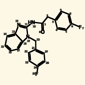 O=C(Cc1ccc(F)cc1)Nc1nc2ccccc2n1Cc1ccc(F)cc1